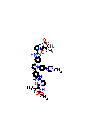 COC(=O)N[C@H](C(=O)N1CCC[C@H]1c1nc2cc([C@H]3CC[C@H](c4ccc5nc([C@@H]6CCCN6C(=O)[C@@H](NC(=O)O)C(C)C)[nH]c5c4)N3c3ccc(N4CCN(C)CC4)cc3)ccc2[nH]1)C(C)C